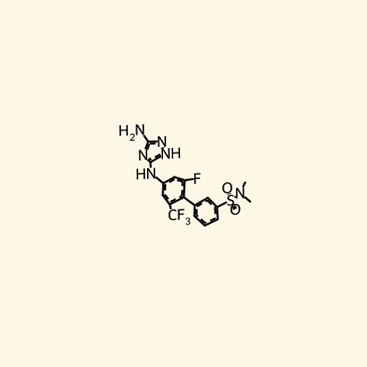 CN(C)S(=O)(=O)c1cccc(-c2c(F)cc(Nc3nc(N)n[nH]3)cc2C(F)(F)F)c1